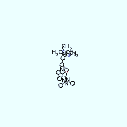 C=C/C=C(\C)n1c(C)c(/C=C\C)c2cc(-c3ccc4c(c3)c3ccccc3n4-c3cccc4c5ccccc5c5c(-c6nc(-c7ccccc7)nc(-c7ccccc7)n6)cccc5c34)ccc21